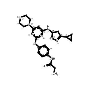 CCC(=O)Nc1ccc(Sc2nc(NC3CC(C4CC4)=NN3)cc(N3CCNCC3)n2)cc1